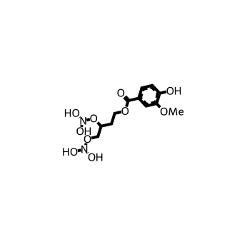 COc1cc(C(=O)OCCC(CON(O)O)ON(O)O)ccc1O